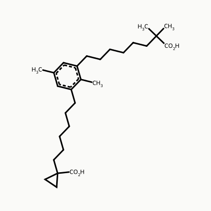 Cc1cc(CCCCCCC(C)(C)C(=O)O)c(C)c(CCCCCCC2(C(=O)O)CC2)c1